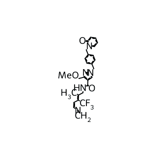 C=N/C=C\C(=C(/C)CNC(=O)c1cn(Cc2ccc(Cn3ccccc3=O)cc2)nc1COC)C(F)(F)F